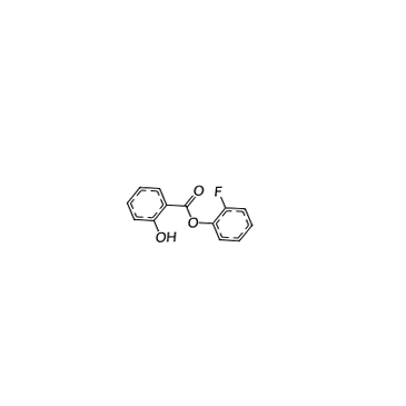 O=C(Oc1ccccc1F)c1ccccc1O